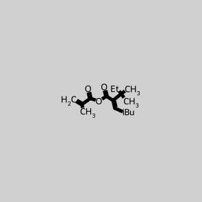 C=C(C)C(=O)OC(=O)C(=CC(C)CC)C(C)(C)CC